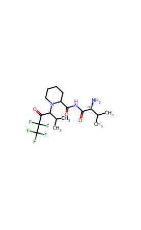 CC(C)C(C(=O)C(F)(F)C(F)(F)F)N1CCCCC1C(=O)NC(=O)[C@@H](N)C(C)C